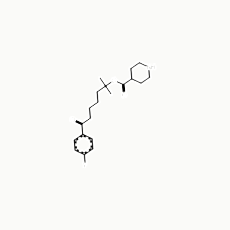 CC(C)(CCCCC(=O)c1ccc(F)cc1)OC(=O)C1CCNCC1